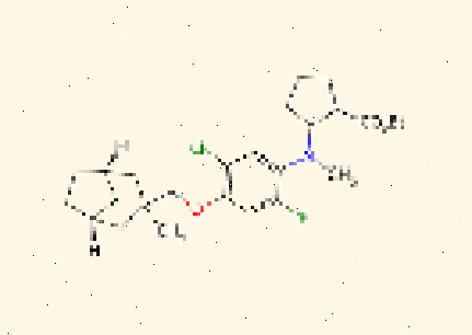 CCOC(=O)C1CCCC1N(C)c1cc(Cl)c(OCC2(C)C[C@@H]3CC[C@@H](C3)C2)cc1F